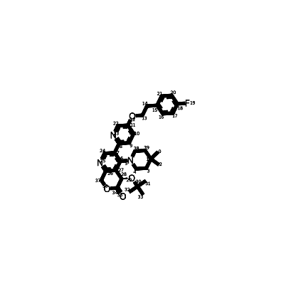 CC1(C)CCN(c2c(-c3ccc(OCCc4ccc(F)cc4)cn3)cnc3c2[C@H](OC(C)(C)C)C(=O)OC3)CC1